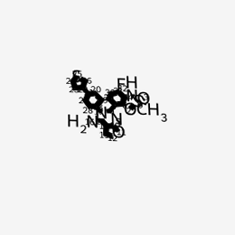 CS(=O)(=O)Nc1cc(C2N=c3occc3=C(N)N2c2ccc(-c3ccsc3)cc2)ccc1F